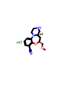 COC[C@@H]1C[C@@H]2CNCCN2c2cccc(C#N)c2O1.Cl